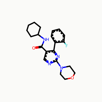 O=C(NC1CCCCC1)c1cnc(N2CCOCC2)nc1-c1ccccc1F